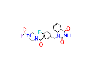 O=C(I)N1CCN(C(=O)c2cc(Cn3c(=O)[nH]c(=O)c4ccccc43)ccc2F)CC1